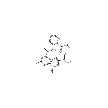 CC[S+]([O-])c1cc(=O)c2cc(C)cc(C(C)Nc3cccnc3C(=O)OC)c2o1